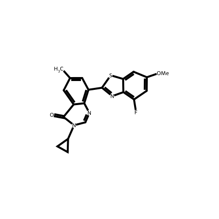 COc1cc(F)c2nc(-c3cc(C)cc4c(=O)n(C5CC5)cnc34)sc2c1